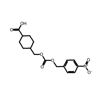 O=C(OCc1ccc([N+](=O)[O-])cc1)OCC1CCC(C(=O)O)CC1